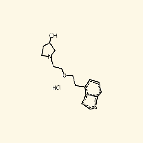 Cl.OC1CCN(CCOCCc2cccc3sccc23)C1